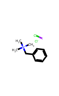 C[N+](C)(C)Cc1ccccc1.ClI.[Cl-]